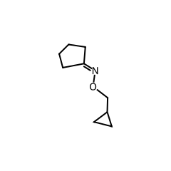 C1CCC(=NOCC2CC2)C1